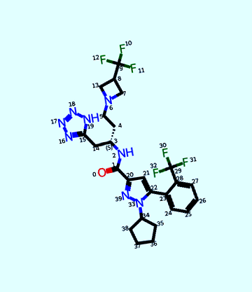 O=C(N[C@@H](CCN1CC(C(F)(F)F)C1)Cc1nnn[nH]1)c1cc(-c2ccccc2C(F)(F)F)n(C2CCCC2)n1